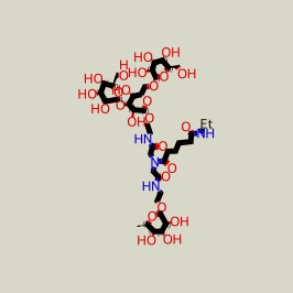 CCNC(=O)CCCCC(=O)N(CC(=O)NCCO[C@@H]1O[C@@H](C)[C@@H](O)[C@@H](O)[C@@H]1O)CC(=O)NCCO[C@H]1OC(CO[C@H]2O[C@H](CO)[C@@H](O)[C@H](O)[C@@H]2O)[C@@H](O)[C@H](O[C@H]2O[C@H](CO)[C@@H](O)[C@H](O)[C@@H]2O)[C@@H]1O